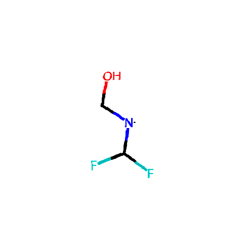 OC[N]C(F)F